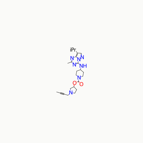 CC#CCN1CC[C@H](OC(=O)N2CCC(Nc3nc(C)nc4c(C(C)C)cnn34)CC2)C1